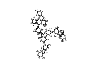 c1ccc(-c2c3ccccc3c(-c3cccc(-n4c5ccc(-c6ccc7oc8ccccc8c7c6)cc5c5cc(-c6ccc7oc8ccccc8c7c6)ccc54)c3)c3ccccc23)cc1